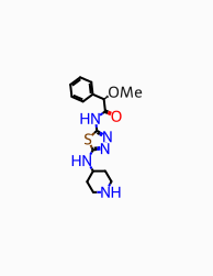 CO[C@@H](C(=O)Nc1nnc(NC2CCNCC2)s1)c1ccccc1